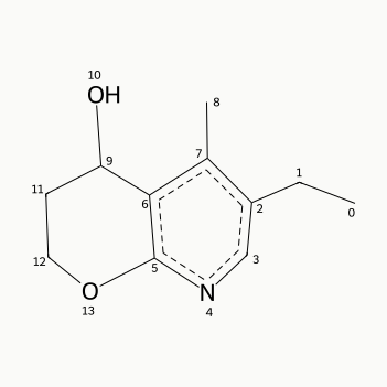 CCc1cnc2c(c1C)C(O)CCO2